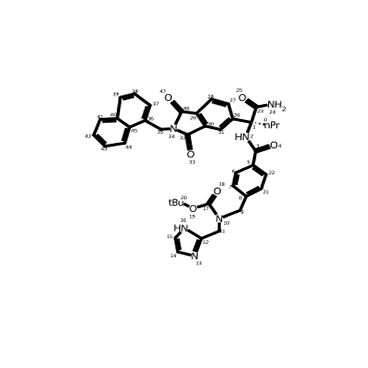 CCC[C@@](NC(=O)c1ccc(CN(Cc2ncc[nH]2)C(=O)OC(C)(C)C)cc1)(C(N)=O)c1ccc2c(c1)C(=O)N(Cc1cccc3ccccc13)C2=O